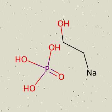 O=P(O)(O)O.OC[CH2][Na]